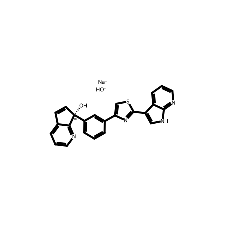 O[C@@]1(c2cccc(-c3csc(-c4c[nH]c5ncccc45)n3)c2)C=Cc2cccnc21.[Na+].[OH-]